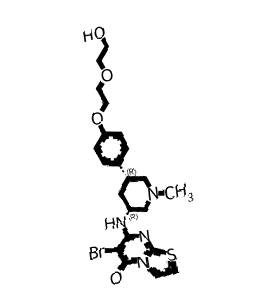 CN1C[C@H](Nc2nc3sccn3c(=O)c2Br)C[C@H](c2ccc(OCCOCCO)cc2)C1